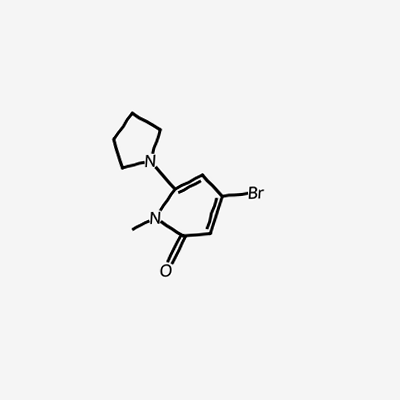 Cn1c(N2CCCC2)cc(Br)cc1=O